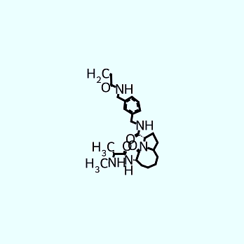 C=CC(=O)NCc1cccc(CNC(=O)[C@@H]2CCC3CCCC[C@H](NC(=O)[C@H](C)NC)C(=O)N32)c1